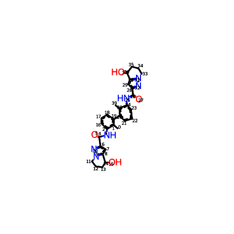 Cc1c(NC(=O)c2cc3n(n2)CCCC3O)cccc1-c1cccc(NC(=O)c2cc3n(n2)CCCC3O)c1C